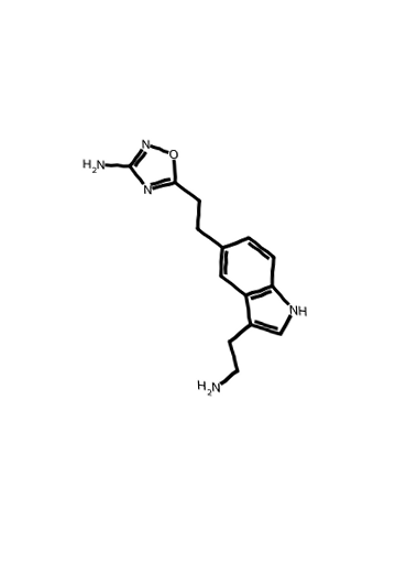 NCCc1c[nH]c2ccc(CCc3nc(N)no3)cc12